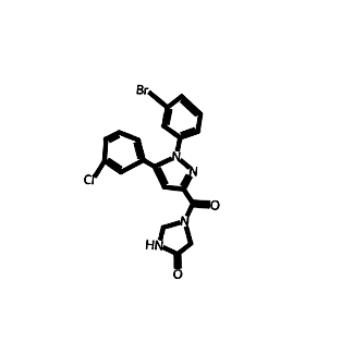 O=C1CN(C(=O)c2cc(-c3cccc(Cl)c3)n(-c3cccc(Br)c3)n2)CN1